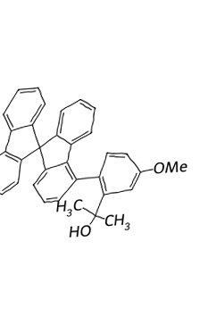 COc1ccc(-c2cccc3c2-c2ccccc2C32C3=C(CCC=C3)c3ccccc32)c(C(C)(C)O)c1